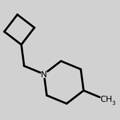 CC1CCN(CC2CCC2)CC1